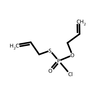 C=CCOP(=O)(Cl)SCC=C